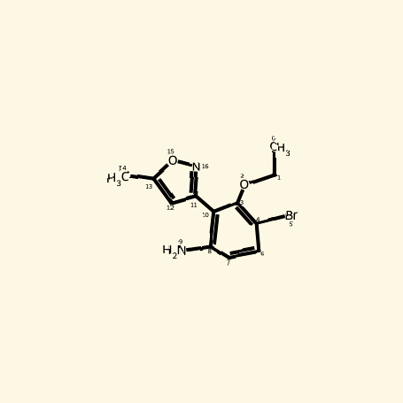 CCOc1c(Br)ccc(N)c1-c1cc(C)on1